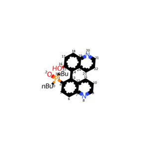 CCCCP(=O)(CCCC)c1ccc2ncccc2c1-c1c(O)ccc2ncccc12